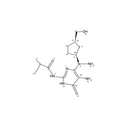 CC(C)C(=O)Nc1nc(N(N)[C@H]2CC[C@@H](CO)S2)c(N)c(=O)[nH]1